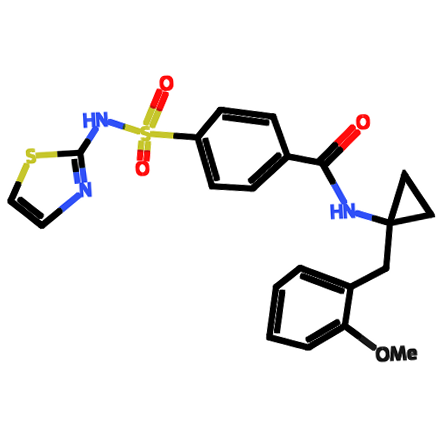 COc1ccccc1CC1(NC(=O)c2ccc(S(=O)(=O)Nc3nccs3)cc2)CC1